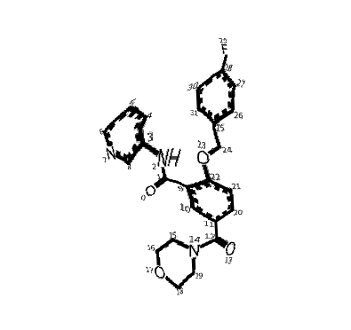 O=C(Nc1cccnc1)c1cc(C(=O)N2CCOCC2)ccc1OCc1ccc(F)cc1